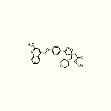 CCCCOC(=O)CC1(CN2CCOCC2)CC(c2ccc(OCc3cc(C)nc4ccccc34)cc2)=NO1